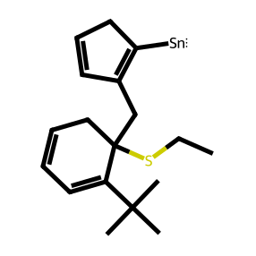 CCSC1(CC2=[C]([Sn])CC=C2)CC=CC=C1C(C)(C)C